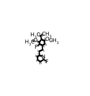 COc1cc(C=Cc2cccc(F)n2)c(F)c(OC)c1C(C)C